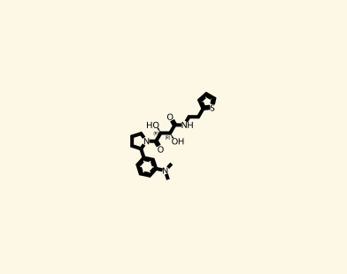 CN(C)c1cccc(C2CCCN2C(=O)[C@H](O)[C@@H](O)C(=O)NCCc2cccs2)c1